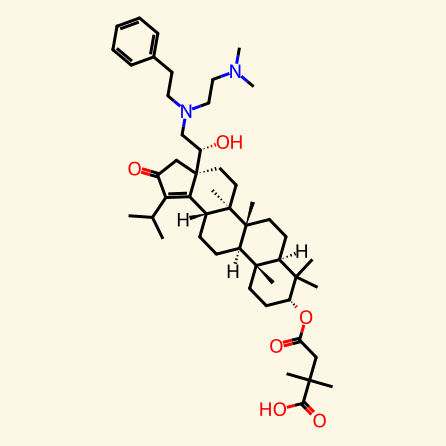 CC(C)C1=C2[C@H]3CC[C@@H]4[C@@]5(C)CC[C@@H](OC(=O)CC(C)(C)C(=O)O)C(C)(C)[C@@H]5CC[C@@]4(C)[C@]3(C)CC[C@@]2([C@@H](O)CN(CCc2ccccc2)CCN(C)C)CC1=O